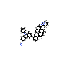 N#Cc1ccc2c(c1)c1cc(-c3cccc(-c4ccc5ccc6c(-c7ccccn7)ccc7ccc4c5c76)c3)ccc1n2-c1ccccc1